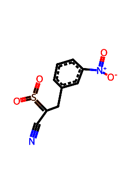 N#CC(Cc1cccc([N+](=O)[O-])c1)=S(=O)=O